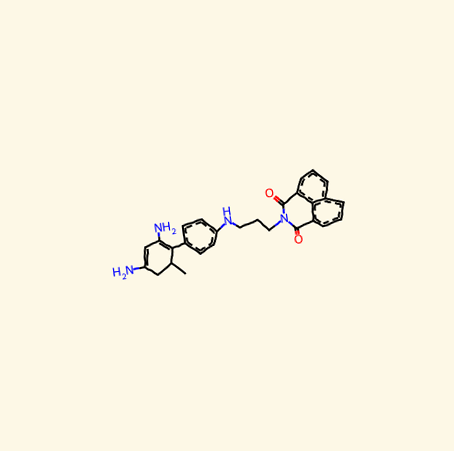 CC1CC(N)=CC(N)=C1c1ccc(NCCCN2C(=O)c3cccc4cccc(c34)C2=O)cc1